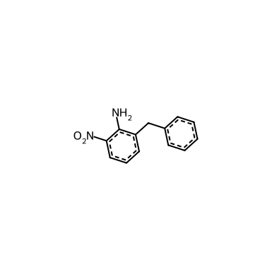 Nc1c(Cc2ccccc2)cccc1[N+](=O)[O-]